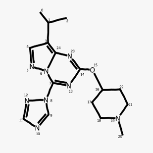 CC(C)c1cnn2c(-n3cncn3)nc(OC3CCN(C)CC3)nc12